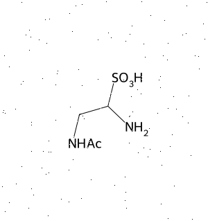 CC(=O)NCC(N)S(=O)(=O)O